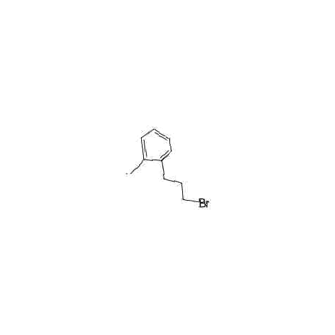 [CH2]c1ccccc1CCCBr